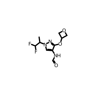 CC(C(F)F)n1cc(NC=O)c(OC2COC2)n1